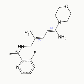 C[C@@H](NC/C(N)=C/C=C(\N)N1CCOCC1)c1ncccc1F